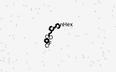 CCCCCC[C@H]1CC[C@H]([C@H]2CCCC(CCC(=O)Oc3ccc(Cl)c(F)c3)C2)CC1